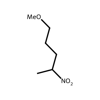 COCCCC(C)[N+](=O)[O-]